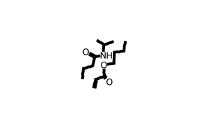 C=CC(=O)OCCCC.CCCC(=O)NC(C)C